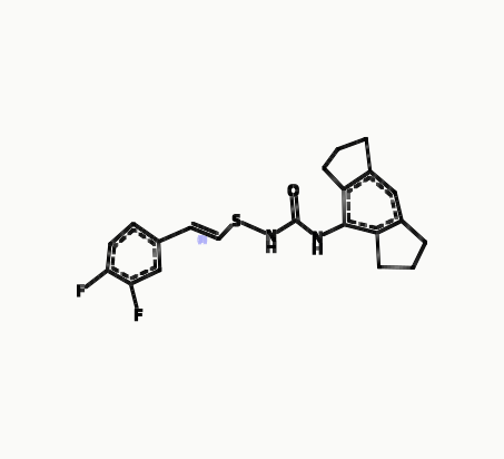 O=C(NS/C=C/c1ccc(F)c(F)c1)Nc1c2c(cc3c1CCC3)CCC2